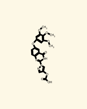 COc1cc(Oc2ccc3nc(-n4cc(OC(=O)O)cn4)[nH]c(=O)c3c2)cc(OC)c1OC